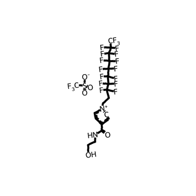 O=C(NCCO)c1cc[n+](CCC(F)(F)C(F)(F)C(F)(F)C(F)(F)C(F)(F)C(F)(F)C(F)(F)C(F)(F)F)cc1.O=S(=O)([O-])C(F)(F)F